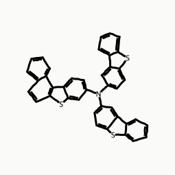 c1ccc2c(c1)ccc1sc3cc(N(c4ccc5sc6ccccc6c5c4)c4ccc5sc6ccccc6c5c4)ccc3c12